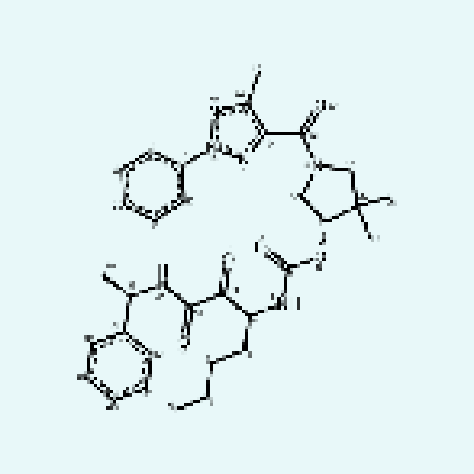 CCCC[C@H](NC(=O)O[C@@H]1CN(C(=O)c2nn(-c3ccccc3)nc2C)CC1(C)C)C(=O)C(=O)N[C@H](C)c1ccccc1